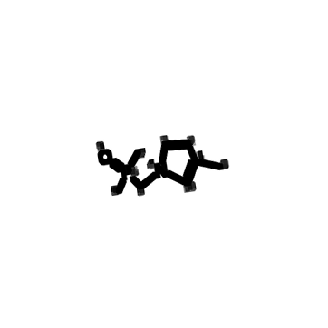 Cc1ccn(CP(C)(C)=O)c1